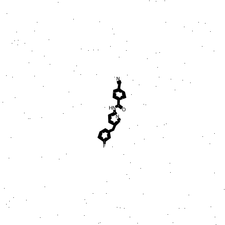 N#Cc1ccc(C(=O)Nc2ccc(Cc3cccc(F)c3)cn2)cc1